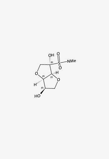 CNS(=O)(=O)[C@]1(O)CO[C@@H]2[C@H](O)CO[C@@H]21